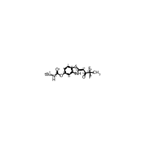 CC(C)(C)NC(=O)Oc1ccc2c(c1)N/C(=C\C(=O)C(C)(F)F)S2